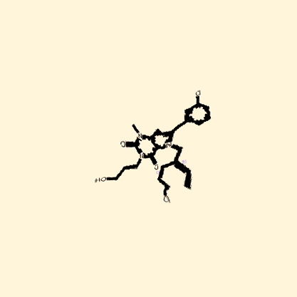 C/C=C(\C=C/CCl)Cn1c(-c2cccc(Cl)c2)cc2c1c(=O)n(CCCO)c(=O)n2C